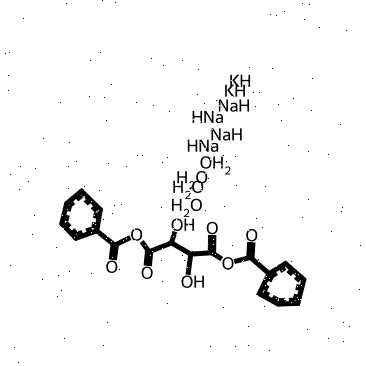 O.O.O.O.O=C(OC(=O)C(O)C(O)C(=O)OC(=O)c1ccccc1)c1ccccc1.[KH].[KH].[NaH].[NaH].[NaH].[NaH]